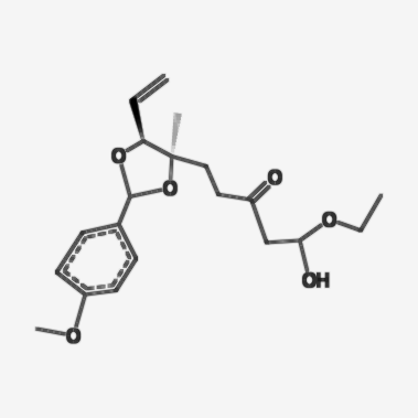 C=C[C@@H]1OC(c2ccc(OC)cc2)O[C@]1(C)CCC(=O)CC(O)OCC